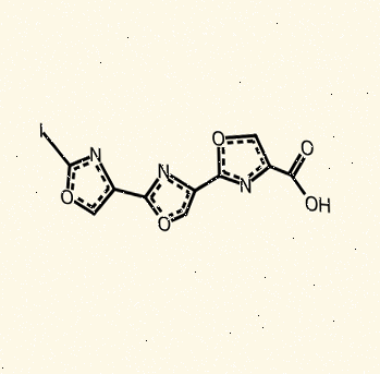 O=C(O)c1coc(-c2coc(-c3coc(I)n3)n2)n1